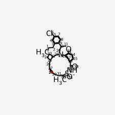 CCCc1cc(Cl)ccc1C1COc2ccc3cc2N(C1)CC1CCC1CC1=CC(C1)CC(C)[S+]([O-])NC3=O